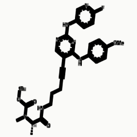 COc1ccc(Nc2nc(Nc3ccc(F)nc3)ncc2C#CCCCNC(=O)[C@H](C)N(C)C(=O)OC(C)(C)C)cc1